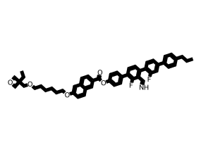 CCCc1ccc(-c2ccc(-c3ccc(-c4ccc(OC(=O)c5ccc6cc(OCCCCCCOCC7(CC)COC7)ccc6c5)cc4)c(F)c3C=N)c(F)c2)cc1